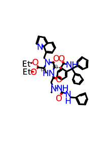 CCOC(OCC)[C@H](C)N(Cc1cccc2cccnc12)C(=O)[C@H](CC(=O)NC(c1ccccc1)(c1ccccc1)c1ccccc1)NC(=O)CN(C)NC(=O)NCc1ccccc1